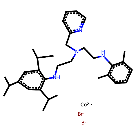 Cc1cccc(C)c1NCCN(CCNc1c(C(C)C)cc(C(C)C)cc1C(C)C)Cc1ccccn1.[Br-].[Br-].[Co+2]